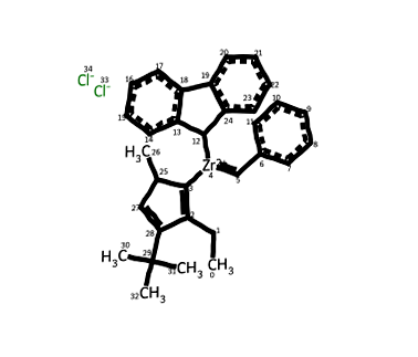 CCC1=[C](/[Zr+2](=[CH]/c2ccccc2)[CH]2c3ccccc3-c3ccccc32)C(C)C=C1C(C)(C)C.[Cl-].[Cl-]